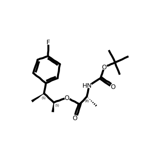 C[C@H](OC(=O)[C@@H](C)NC(=O)OC(C)(C)C)[C@@H](C)c1ccc(F)cc1